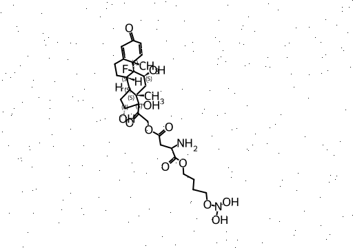 C[C@]12C=CC(=O)C=C1CC[C@H]1[C@@H]3C[C@@H](O)[C@](O)(C(=O)COC(=O)CC(N)C(=O)OCCCCON(O)O)[C@@]3(C)C[C@H](O)C12F